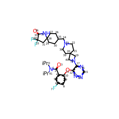 CC(C)N(C(=O)c1cc(F)ccc1Oc1nncnc1N1CC2(CCN(CC3CCC4(CC3)CC(F)(F)C(=O)N4)CC2)C1)C(C)C